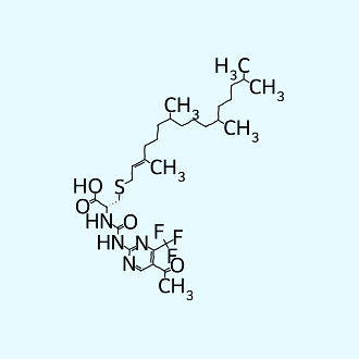 CC(=O)c1cnc(NC(=O)N[C@@H](CSC/C=C(\C)CCCC(C)CCCC(C)CCCC(C)C)C(=O)O)nc1C(F)(F)F